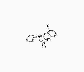 O=C1NC[C@H](c2ccccc2)N[C@H]1Cc1ccccc1F